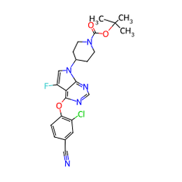 CC(C)(C)OC(=O)N1CCC(n2cc(F)c3c(Oc4ccc(C#N)cc4Cl)ncnc32)CC1